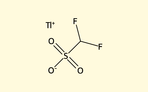 O=S(=O)([O-])C(F)F.[Tl+]